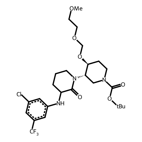 COCCOCO[C@H]1CCN(C(=O)OC(C)(C)C)C[C@@H]1N1CCCC(Nc2cc(Cl)cc(C(F)(F)F)c2)C1=O